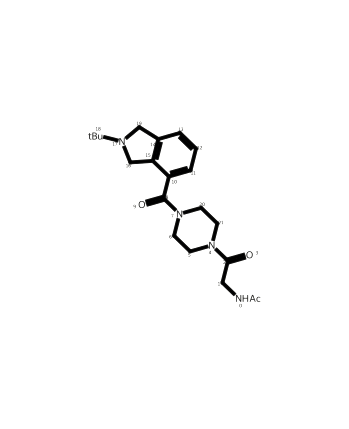 CC(=O)NCC(=O)N1CCN(C(=O)c2cccc3c2CN(C(C)(C)C)C3)CC1